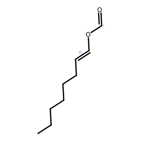 CCCCCC/C=C/O[C]=O